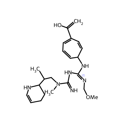 C=C(O)C1=CC=CC(N/C(=N/COC)NC(=N)N(C)CC(C)C2CCC=CN2)C=C1